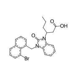 CCCC(CC(=O)O)n1c(=O)n(Cc2cccc3cccc(Br)c23)c2ccccc21